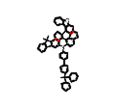 CC1(C)c2ccccc2-c2cc(N(c3ccc(-c4ccc(C(C)(c5ccccc5)c5ccccc5)cc4)cc3)c3ccc4ccccc4c3-c3ccccc3-c3cccc4oc5ccccc5c34)ccc21